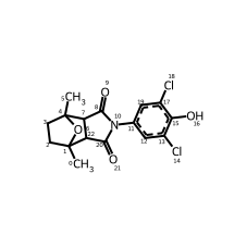 CC12CCC(C)(O1)C1C(=O)N(c3cc(Cl)c(O)c(Cl)c3)C(=O)C12